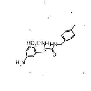 Cc1ccc(CNC(=O)[C@H](Cc2cccc(N)c2)NC(=O)O)cc1